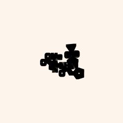 COC(=O)c1cnc(NC(=O)C(CC2CCCC2)n2cc(S(=O)(=O)C3CC3)cn2)s1